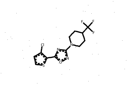 FC(F)(F)C1CCN(c2noc(-c3sccc3Cl)n2)CC1